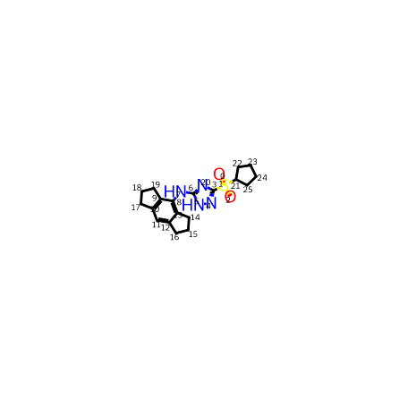 O=S(=O)(c1n[nH]c(Nc2c3c(cc4c2CCC4)CCC3)n1)C1CCCC1